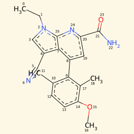 CCn1cc(C#N)c2c(-c3c(C)ccc(OC)c3C)cc(C(N)=O)nc21